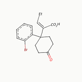 CCC=C(C(=O)O)C1(c2ccccc2Br)CCC(=O)CC1